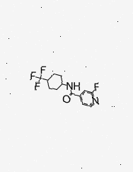 O=C(NC1CCC(C(F)(F)F)CC1)c1ccnc(F)c1